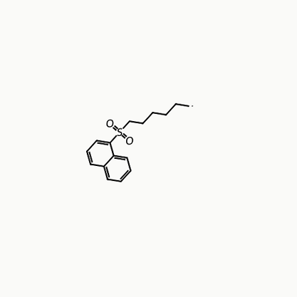 [CH2]CCCCCS(=O)(=O)c1cccc2ccccc12